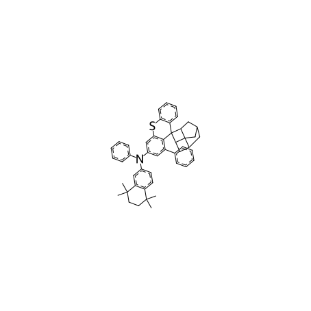 CC1(C)CCC(C)(C)c2cc(N(c3ccccc3)c3cc4c(c(-c5ccccc5)c3)C3(c5ccccc5S4)C4CC5CC6CC3C64C5)ccc21